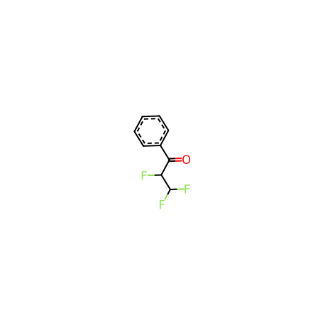 O=C(c1ccccc1)C(F)C(F)F